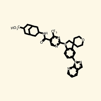 O=C(NC1CC2CC(C1)CC(C(=O)O)C2)c1cnc(N2CC3(CCOCC3)c3cc(-n4ncc5cccnc54)ccc32)nc1C(F)(F)F